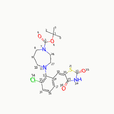 CC(C)(C)OC(=O)N1CCCN(c2c(Cl)cccc2/C=C2/SC(=O)NC2=O)CC1